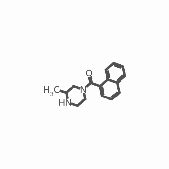 CC1CN(C(=O)c2cccc3ccccc23)CCN1